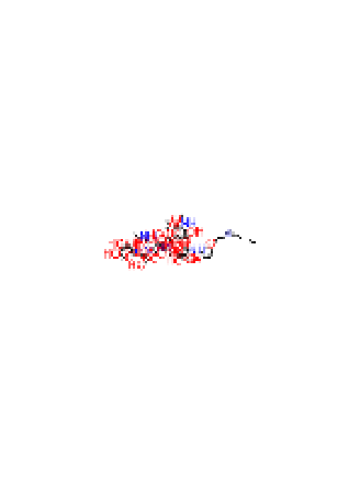 CCCCCC/C=C\CCCOc1cccc(C(=O)N[C@H]2C(O[C@H]3C(O)C(NC(C)=O)[C@H](OC(C)C(CO)O[C@@H](O[C@H]4C(O)C(NC(C)=O)C(OC(CO)C(CO[C@@H]5OC(C)C(O)[C@H](O)[C@H]5O)OC(O)[C@H](C)NC(C)=O)O[C@H]4CO)[C@H](O)NC(C)=O)O[C@H]3CO)OC(CO)[C@@H](O)[C@@H]2O)c1